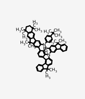 CC(C)(C)c1ccc(Nc2cc3c(cc2-c2ccc4c5c6c(ccc5n5c4c2Bc2cc4c(cc2-5)-c2ccccc2C4(C)C)C(C)(C)c2ccccc2-6)C(C)(C)c2cc4c(cc2-3)C(C)(C)CCC4(C)C)cc1